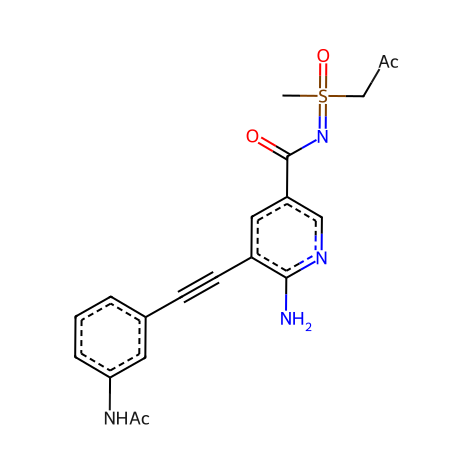 CC(=O)CS(C)(=O)=NC(=O)c1cnc(N)c(C#Cc2cccc(NC(C)=O)c2)c1